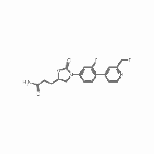 NC(=O)CCC1CN(c2ccc(-c3ccnc(CF)c3)c(F)c2)C(=O)O1